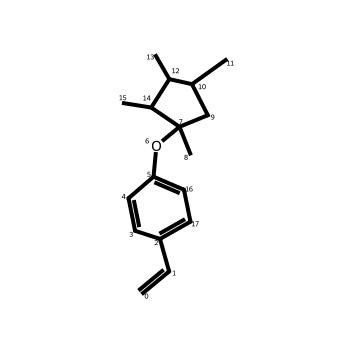 C=Cc1ccc(OC2(C)CC(C)C(C)C2C)cc1